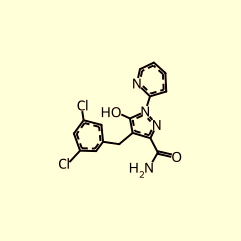 NC(=O)c1nn(-c2ccccn2)c(O)c1Cc1cc(Cl)cc(Cl)c1